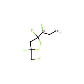 [CH2]C[C@H](F)C(F)(F)CC(F)(F)CF